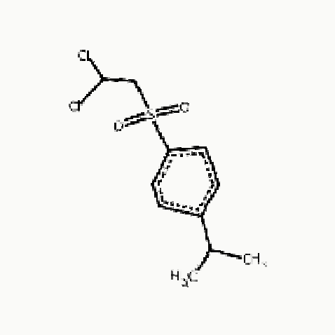 CC(C)c1ccc(S(=O)(=O)CC(Cl)Cl)cc1